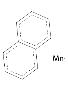 [Mn].c1ccc2ccccc2c1